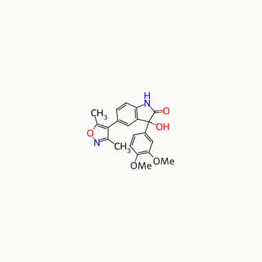 COc1ccc(C2(O)C(=O)Nc3ccc(-c4c(C)noc4C)cc32)cc1OC